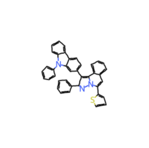 c1ccc(-c2nn3c(-c4cccs4)cc4ccccc4c3c2-c2ccc3c4ccccc4n(-c4ccccc4)c3c2)cc1